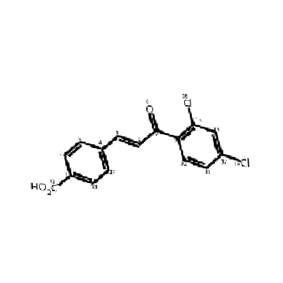 O=C(O)c1ccc(C=CC(=O)c2ccc(Cl)cc2Cl)cc1